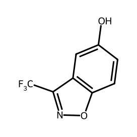 Oc1ccc2onc(C(F)(F)F)c2c1